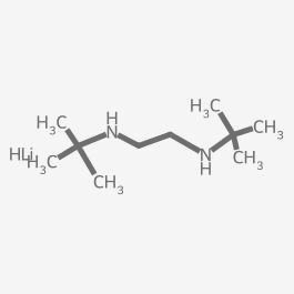 CC(C)(C)NCCNC(C)(C)C.[LiH]